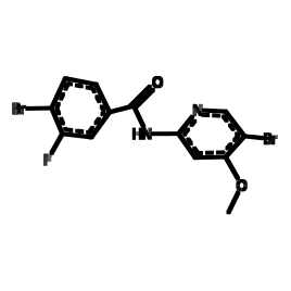 COc1cc(NC(=O)c2ccc(Br)c(F)c2)ncc1Br